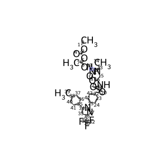 CCOC(=O)OC(C)O/N=[N+](\[O-])N(CC)CC(=O)NS(=O)(=O)c1ccc(-n2nc(C(F)(F)F)cc2-c2ccc(C)cc2)cc1